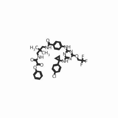 CC(C)(CNC(=O)C(=O)Oc1ccccc1)CNC(=O)c1ccc(Nc2nc(NC3(c4ccc(Cl)cc4)CC3)nc(OCC(F)(F)F)n2)cc1